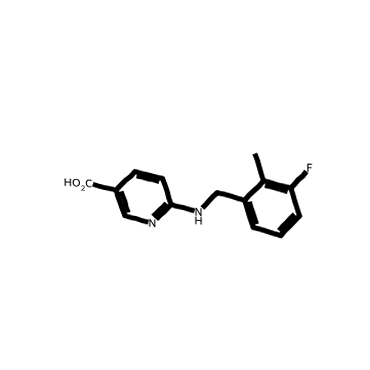 Cc1c(F)cccc1CNc1ccc(C(=O)O)cn1